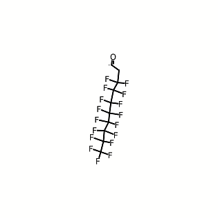 O=[C]CC(F)(F)C(F)(F)C(F)(F)C(F)(F)C(F)(F)C(F)(F)C(F)(F)C(F)(F)F